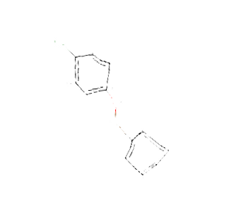 Clc1ccc(OSc2ccccc2)cc1